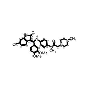 COc1ccc(/C(Nc2ccc(N(C)C(=O)CN3CCN(C)CC3)cc2)=C2/C(=O)Nc3cc(Cl)ccc32)cc1OC